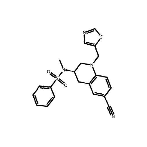 CN([C@@H]1Cc2cc(C#N)ccc2N(Cc2cncs2)C1)S(=O)(=O)c1ccccc1